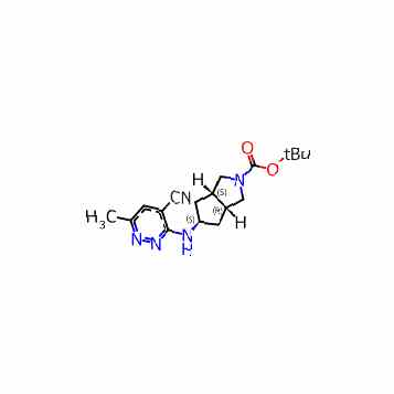 Cc1cc(C#N)c(N[C@H]2C[C@@H]3CN(C(=O)OC(C)(C)C)C[C@@H]3C2)nn1